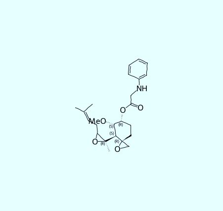 CO[C@@H]1[C@H](OC(=O)CNc2ccccc2)CC[C@]2(CO2)[C@H]1[C@@]1(C)OC1CC=C(C)C